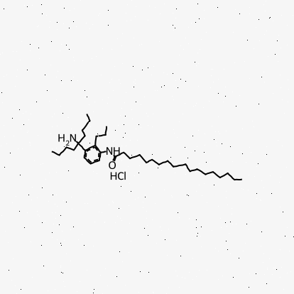 CCCCCCCCCCCCCCCCCC(=O)Nc1cccc(C(N)(CCCC)CCCC)c1CCC.Cl